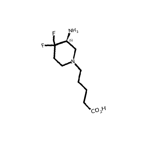 N[C@H]1CN(CCCCC(=O)O)CCC1(F)F